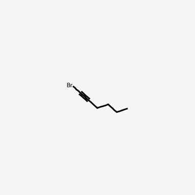 CCCCC#CBr